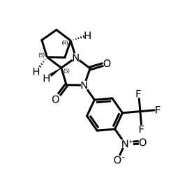 O=C1[C@@H]2[C@H]3CC[C@H](C3)N2C(=O)N1c1ccc([N+](=O)[O-])c(C(F)(F)F)c1